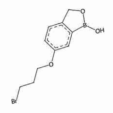 OB1OCc2ccc(OCCCBr)cc21